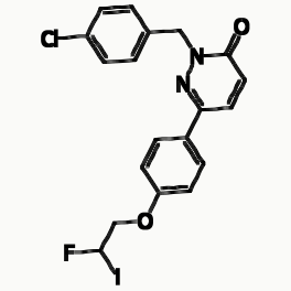 O=c1ccc(-c2ccc(OCC(F)I)cc2)nn1Cc1ccc(Cl)cc1